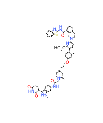 Cc1cc(OCCC[C@H]2CCN(CC(=O)Nc3ccc4c(C5CCC(=O)NC5=O)nn(C)c4c3)[C@H](C)C2)ccc1-c1ccc(N2CCc3cccc(C(=O)Nc4nc5ccccc5s4)c3C2)nc1C(=O)O